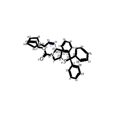 C=CCOC(=O)N1C[C@@H](SC(c2ccccc2)(c2ccccc2)c2ccccc2)C[C@H]1/C=C\CN1CCCC1